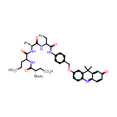 CC(=O)CC(NC(=O)[C@@H](NC(=O)C(CCC(=O)O)NC(=O)[C@H](CC(=O)O)NC(C)=O)C(C)C)C(=O)Nc1ccc(COc2ccc3c(c2)C(C)(C)C2=CC(=O)C=CC2=N3)cc1